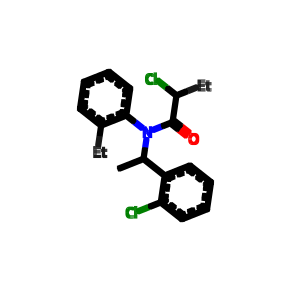 CCc1ccccc1N(C(=O)C(Cl)CC)C(C)c1ccccc1Cl